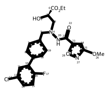 CCOC(=O)[C@H](O)CN(Cc1ccc(-c2cc(Cl)ccc2F)cc1)NC(=O)c1cc(OC)no1